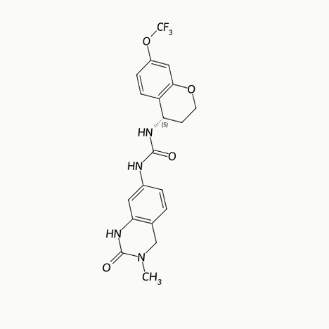 CN1Cc2ccc(NC(=O)N[C@H]3CCOc4cc(OC(F)(F)F)ccc43)cc2NC1=O